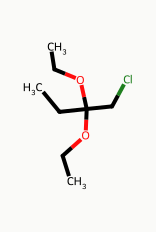 CCOC(CC)(CCl)OCC